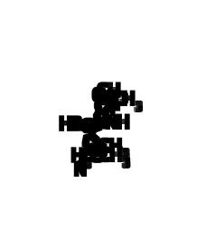 Br.COc1cc2c(c(F)c1OC)C(=N)N(CC(=O)c1ccc(OCC#N)c(C(C)(C)C)c1)C2